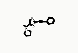 CC(c1cnc(C#Cc2ccccc2)s1)N1CCCC1